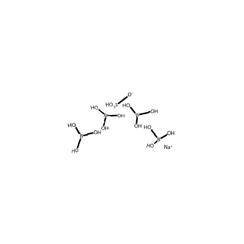 O=S(=O)([O-])O.OB(O)O.OB(O)O.OB(O)O.OB(O)O.[Na+]